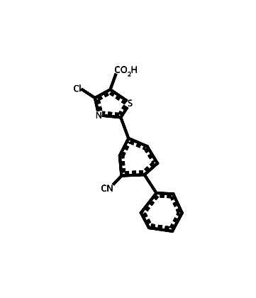 [C-]#[N+]c1cc(-c2nc(Cl)c(C(=O)O)s2)ccc1-c1ccccc1